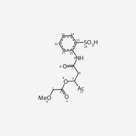 COCC(=O)OC(CC(=O)Nc1ccccc1S(=O)(=O)O)C(C)=O